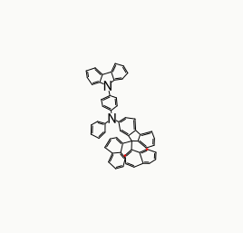 c1ccc(N(c2ccc(-n3c4ccccc4c4ccccc43)cc2)c2ccc3c(c2)C(c2cccc4ccccc24)(c2cccc4ccccc24)c2ccccc2-3)cc1